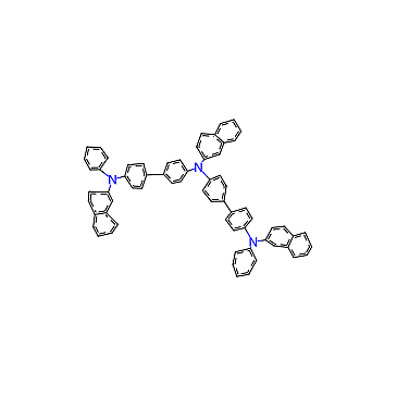 c1ccc(N(c2ccc(-c3ccc(N(c4ccc(-c5ccc(N(c6ccccc6)c6ccc7ccccc7c6)cc5)cc4)c4ccc5ccccc5c4)cc3)cc2)c2ccc3ccccc3c2)cc1